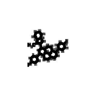 Cn1c(-c2cc(-c3ccc(F)cc3)c3ccc4ccc(-c5ccc(F)cc5)c5ccc2c3c45)cc2ccccc21